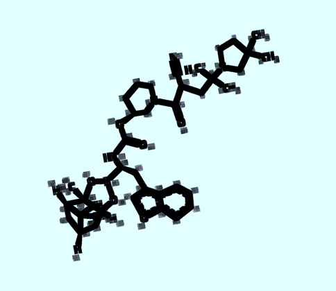 CC1(C)CCN(C(C)(C)CC(C#N)C(=O)N2CCC[C@H](OC(=O)N[C@@H](Cc3coc4ccccc34)B3O[C@@H]4C[C@@H]5C[C@@H](C5(C)C)[C@]4(C)O3)C2)C1